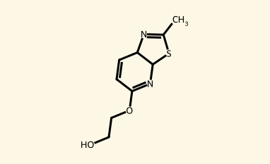 CC1=NC2C=CC(OCCO)=NC2S1